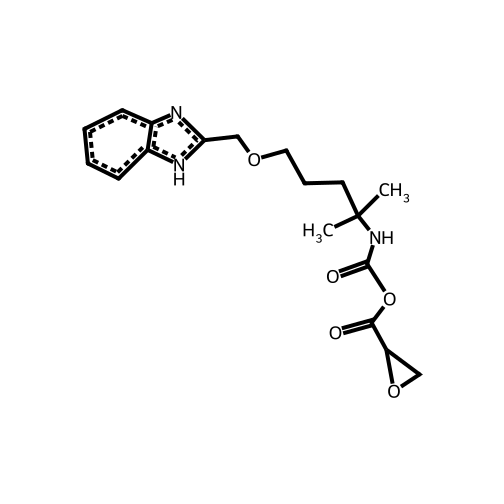 CC(C)(CCCOCc1nc2ccccc2[nH]1)NC(=O)OC(=O)C1CO1